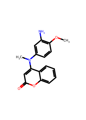 COc1ccc(N(C)c2cc(=O)oc3ccccc23)cc1N